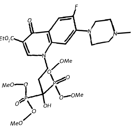 CCOC(=O)c1cn(CCC(O)(P(=O)(OOC)OOC)P(=O)(OOC)OOC)c2cc(N3CCN(C)CC3)c(F)cc2c1=O